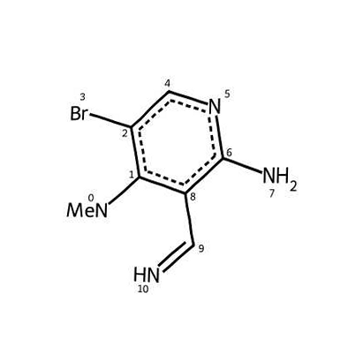 CNc1c(Br)cnc(N)c1C=N